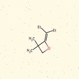 CCC(CC)=C1OCC1(C)C